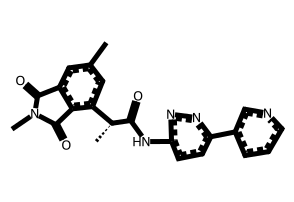 Cc1cc2c(c([C@@H](C)C(=O)Nc3ccc(-c4cccnc4)nn3)c1)C(=O)N(C)C2=O